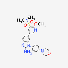 COc1ncc(-c2ccc3nc(N)n(-c4ccc(N5CCOCC5)cc4)c3c2)cc1S(=O)(=O)N(C)C